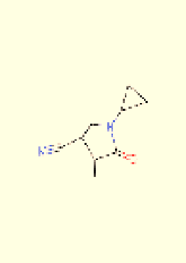 CC1C(=O)N(C2CC2)CC1C#N